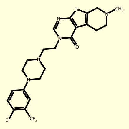 CN1CCc2c(sc3ncn(CCN4CCN(c5ccc(Cl)c(C(F)(F)F)c5)CC4)c(=O)c23)C1